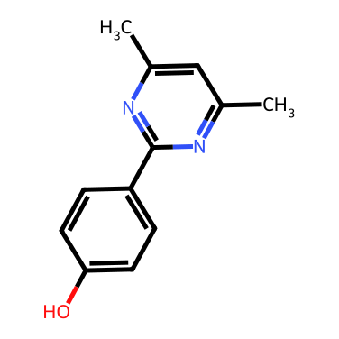 Cc1cc(C)nc(-c2ccc(O)cc2)n1